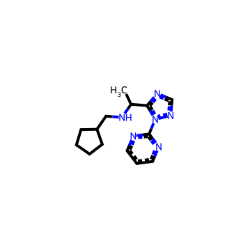 CC(NCC1CCCC1)c1ncnn1-c1ncccn1